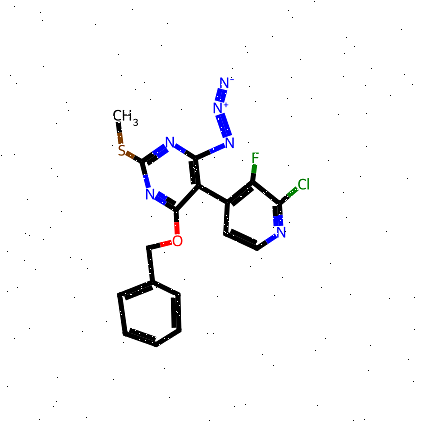 CSc1nc(N=[N+]=[N-])c(-c2ccnc(Cl)c2F)c(OCc2ccccc2)n1